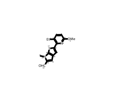 CCc1ccc(OC)nc1-c1cc2cc(C=O)n(C)c2s1